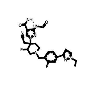 CCn1ccc(-c2ccc(CN3CCC(CC#N)(n4cc(C(N)=O)c(NC=O)n4)C(F)C3)c(F)c2)n1